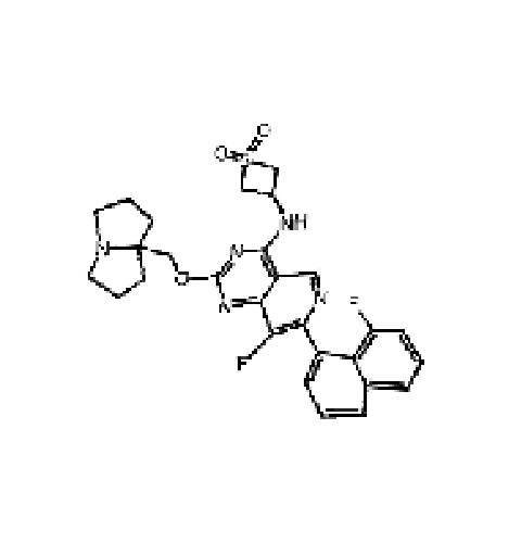 O=S1(=O)CC(Nc2nc(OCC34CCCN3CCC4)nc3c(F)c(-c4cccc5cccc(F)c45)ncc23)C1